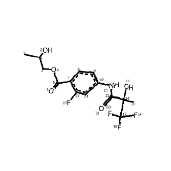 CC(O)COC(=O)c1ccc(NC(=O)C(C)(O)C(F)(F)F)cc1F